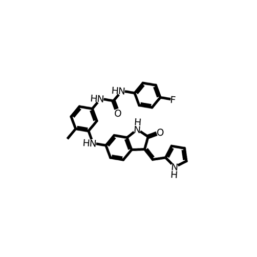 Cc1ccc(NC(=O)Nc2ccc(F)cc2)cc1Nc1ccc2c(c1)NC(=O)/C2=C\c1ccc[nH]1